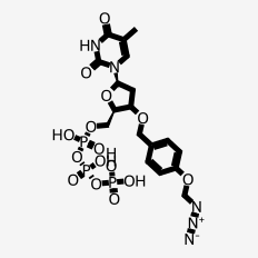 Cc1cn([C@H]2CC(OCc3ccc(OCN=[N+]=[N-])cc3)[C@@H](COP(=O)(O)OP(=O)(O)OP(=O)(O)O)O2)c(=O)[nH]c1=O